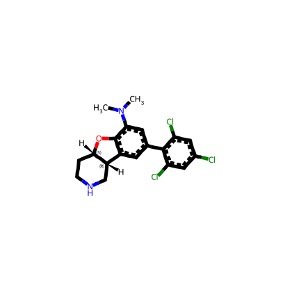 CN(C)c1cc(-c2c(Cl)cc(Cl)cc2Cl)cc2c1O[C@H]1CCNC[C@@H]21